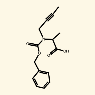 CC#CCN(C(=O)OCc1ccccc1)C(C)C(=O)O